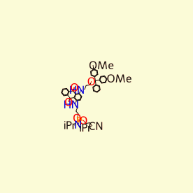 COc1ccc(C(OCCCNc2ccc(NCCCOP(OCCC#N)N(C(C)C)C(C)C)c3c2C(=O)c2ccccc2C3=O)(c2ccccc2)c2ccc(OC)cc2)cc1